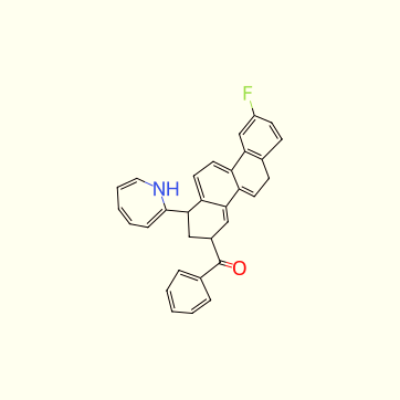 O=C(c1ccccc1)C1C=c2c(ccc3c2=CCc2ccc(F)cc2-3)C(C2=CC=CC=CN2)C1